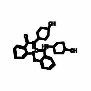 O=C(NC1CCC(O)CC1)c1ccccc1SSc1ccccc1C(=O)NC1CCC(O)CC1